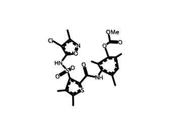 COC(=O)Oc1c(C)cc(C)c(NC(=O)c2sc(C)c(C)c2S(=O)(=O)Nc2onc(C)c2Cl)c1C